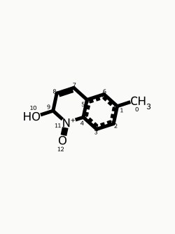 Cc1ccc2c(c1)C=CC(O)[N+]2=O